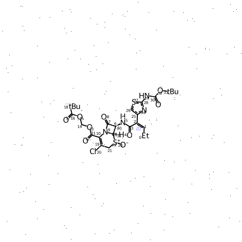 CC/C=C(\C(=O)N[C@@H]1C(=O)N2C(C(=O)OCOC(=O)C(C)(C)C)=C(Cl)C[S+]([O-])[C@H]12)c1csc(NC(=O)OC(C)(C)C)n1